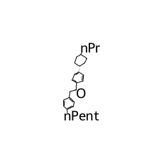 CCCCCc1ccc(CC(=O)c2ccc([C@H]3CC[C@H](CCC)CC3)cc2)cc1